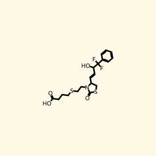 O=C(O)CCCSCCN1C(=O)SCC1/C=C/C(O)C(F)(F)c1ccccc1